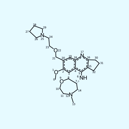 COc1cc2c(N[C@H]3COCCN(C)C3)c3c(nc2cc1COCCN1CCCC1)CCC3